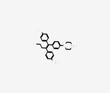 Oc1ccc(/C(CCCl)=C(/c2ccc(O)cc2)c2ccc(N3CCNCC3)cc2)cc1